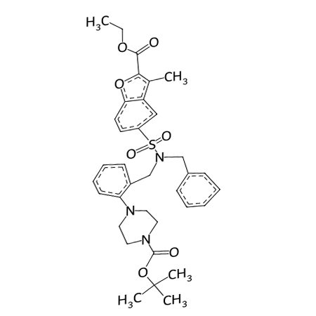 CCOC(=O)c1oc2ccc(S(=O)(=O)N(Cc3ccccc3)Cc3ccccc3N3CCN(C(=O)OC(C)(C)C)CC3)cc2c1C